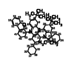 CC(C)(C)C1=CC=C2C(C1)B1C3=C4C(CC(C(C)(C)C)C3)C3(CCCCC3)C(C)(C)N4C3CC(C4CCCCC4)CC(=C13)N2C1CCCC2=C1OC1C=CC=CC21